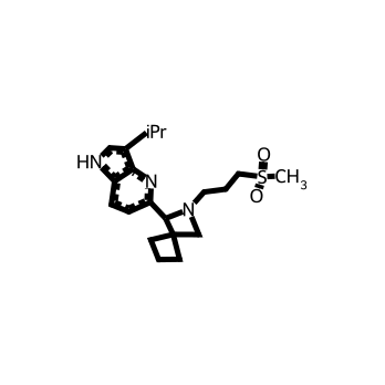 CC(C)c1c[nH]c2ccc(C3N(CCCS(C)(=O)=O)CC34CCC4)nc12